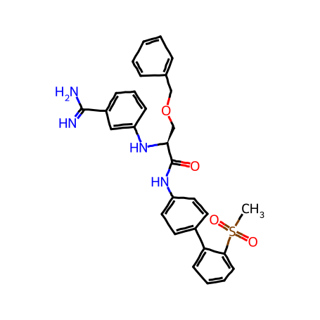 CS(=O)(=O)c1ccccc1-c1ccc(NC(=O)[C@H](COCc2ccccc2)Nc2cccc(C(=N)N)c2)cc1